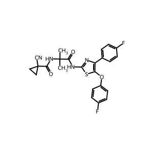 CC(C)(NC(=O)C1(C#N)CC1)C(=O)Nc1nc(-c2ccc(F)cc2)c(Oc2ccc(F)cc2)s1